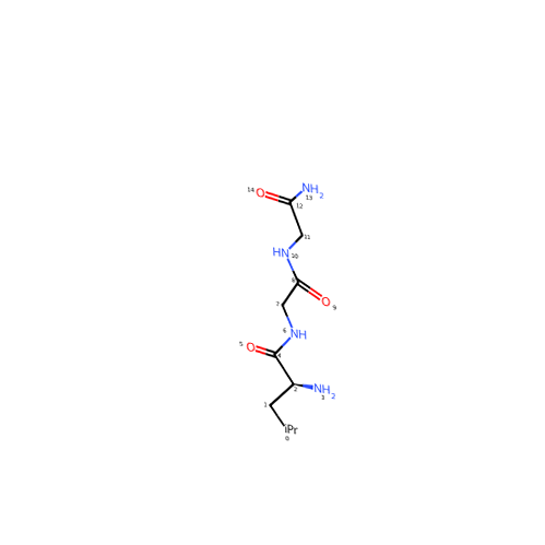 CC(C)C[C@H](N)C(=O)NCC(=O)NCC(N)=O